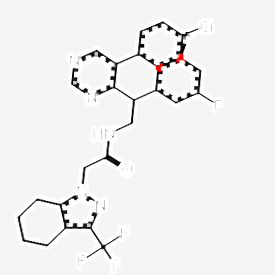 O=C(Cn1nc(C(F)(F)F)c2c1CCCC2)NCC(c1cc(F)cc(F)c1)c1ncncc1-c1ccc(Cl)cc1